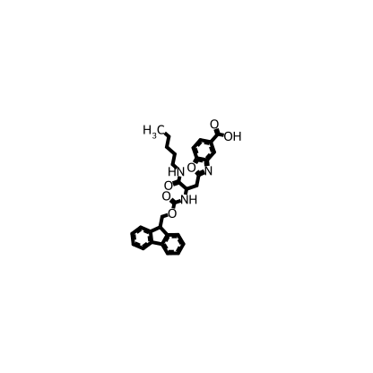 CCCCCNC(=O)C(Cc1nc2cc(C(=O)O)ccc2o1)NC(=O)OCC1c2ccccc2-c2ccccc21